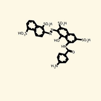 Nc1ccc(C(=O)Nc2cc(S(=O)(=O)O)cc3cc(S(=O)(=O)O)c(N=Nc4ccc5c(S(=O)(=O)O)cccc5c4S(=O)(=O)O)c(O)c23)cc1